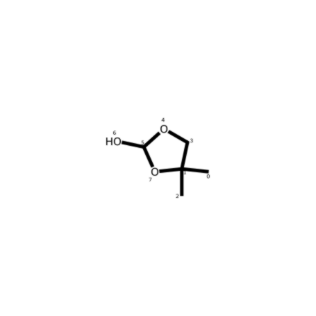 CC1(C)COC(O)O1